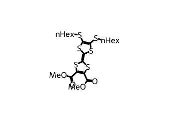 CCCCCCSC1=C(SCCCCCC)SC(=C2SC(C(=O)OC)=C(C(=O)OC)S2)S1